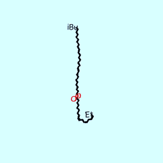 CC/C=C\C/C=C\C/C=C\CCCCCCCC(=O)OCCCCCCCCCCCCCCCCCCCCCCCCCCC(C)CC